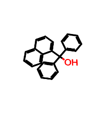 OC(c1ccccc1)(c1ccccc1)c1cccc2ccccc12